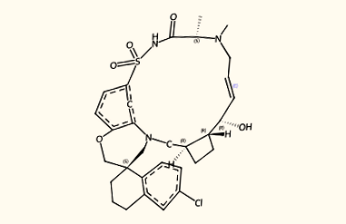 C[C@H]1C(=O)NS(=O)(=O)c2ccc3c(c2)N(C[C@@H]2CC[C@H]2[C@@H](O)/C=C/CN1C)C[C@@]1(CCCc2cc(Cl)ccc21)CO3